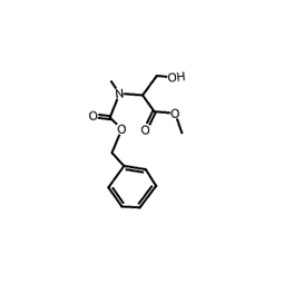 COC(=O)C(CO)N(C)C(=O)OCc1ccccc1